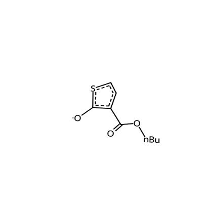 CCCCOC(=O)c1ccsc1[O]